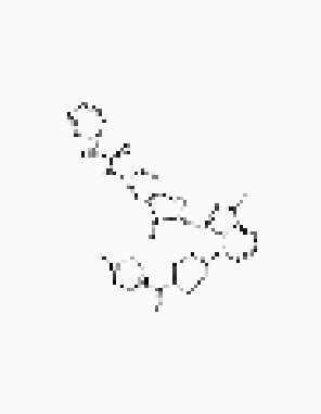 CN1CCN(C(=O)C2CCN(c3ccnc4c3c(C=C3Oc5ccc(NC(=O)Nc6cccnc6)cc5C3=O)cn4C)CC2)CC1